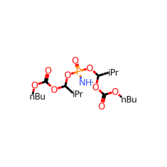 CCCCOC(=O)OC(OP([NH])(=O)OC(OC(=O)OCCCC)C(C)C)C(C)C